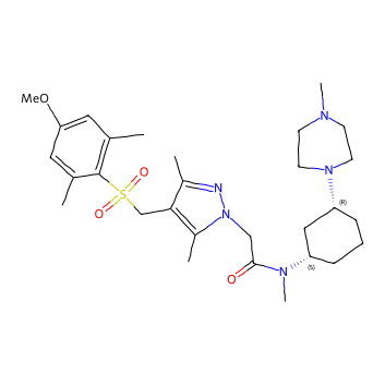 COc1cc(C)c(S(=O)(=O)Cc2c(C)nn(CC(=O)N(C)[C@H]3CCC[C@@H](N4CCN(C)CC4)C3)c2C)c(C)c1